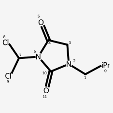 CC(C)CN1CC(=O)N(C(Cl)Cl)C1=O